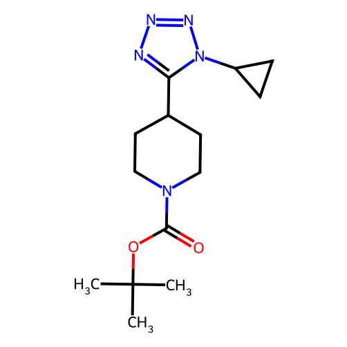 CC(C)(C)OC(=O)N1CCC(c2nnnn2C2CC2)CC1